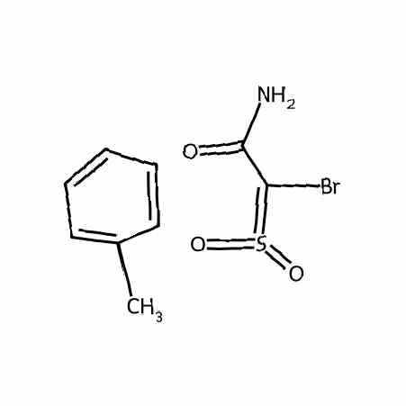 Cc1ccccc1.NC(=O)C(Br)=S(=O)=O